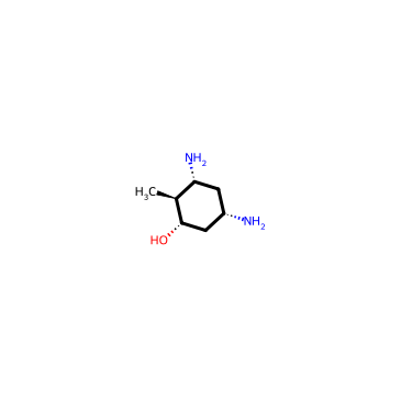 C[C@H]1[C@H](N)C[C@H](N)C[C@@H]1O